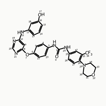 O=C(Nc1ccc(Oc2cc(Nc3cccc(O)c3)ncn2)cc1)Nc1ccc(N2CCOCC2)c(C(F)(F)F)c1